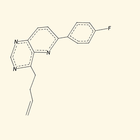 C=CCCc1ncnc2ccc(-c3ccc(F)cc3)nc12